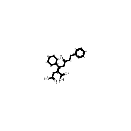 O=C(O)CC(C(=O)O)=C(CC(=O)CCc1ccccc1)C1CCCCC1